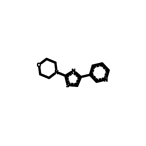 c1cncc(-c2csc(N3CCOCC3)n2)c1